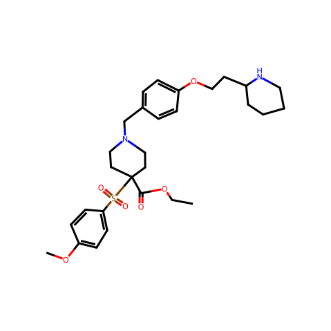 CCOC(=O)C1(S(=O)(=O)c2ccc(OC)cc2)CCN(Cc2ccc(OCCC3CCCCN3)cc2)CC1